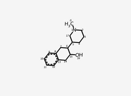 CN1CCCC(C2Cc3ccccc3CC2O)C1